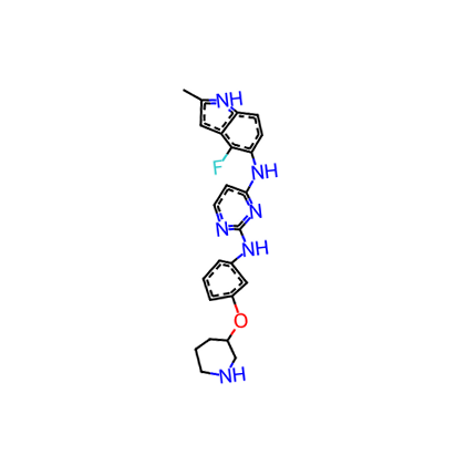 Cc1cc2c(F)c(Nc3ccnc(Nc4cccc(OC5CCCNC5)c4)n3)ccc2[nH]1